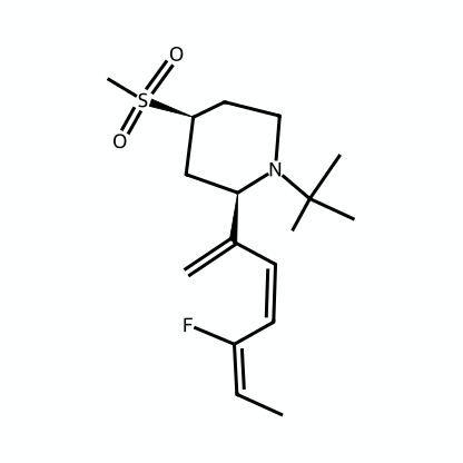 C=C(/C=C\C(F)=C/C)[C@H]1C[C@@H](S(C)(=O)=O)CCN1C(C)(C)C